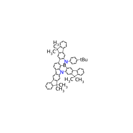 CC(C)(C)c1ccc(N2B3c4cc5c(cc4-n4c6cc7c(cc6c6ccc(c3c64)-c3cc4c(cc32)-c2ccccc2C4(C)C)-c2ccccc2C7(C)C)C(C)(C)c2ccccc2-5)cc1